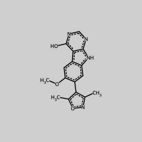 COc1cc2c(cc1-c1c(C)noc1C)[nH]c1ncnc(O)c12